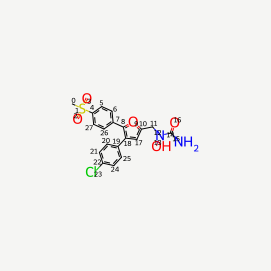 CS(=O)(=O)c1ccc(-c2oc(CN(O)C(N)=O)cc2-c2ccc(Cl)cc2)cc1